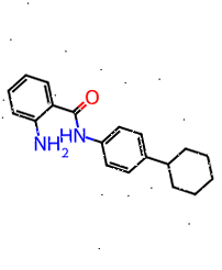 Nc1ccccc1C(=O)Nc1ccc(C2CCCCC2)cc1